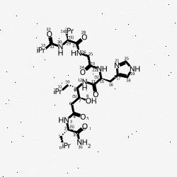 CC(C)C[C@H](NC(=O)C[C@H](O)[C@H](CC(C)C)NC(=O)[C@H](Cc1c[nH]cn1)NC(=O)CNC(=O)[C@@H](NC(=O)C(C)C)C(C)C)C(N)=O